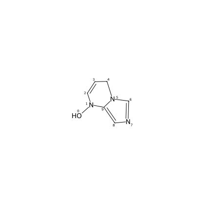 ON1C=CCn2cncc21